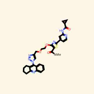 CNC(=O)c1sc(-c2ccnc(NC(=O)C3CC3)c2)nc1OCCOCc1cn(-c2c3c(nc4ccccc24)CCCC3)nn1